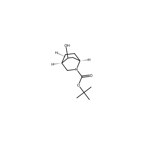 CC(C)(C)OC(=O)N1C[C@H]2CC[C@@H]1C[C@@H]2O